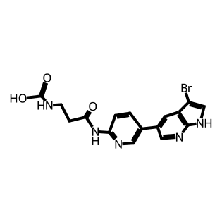 O=C(O)NCCC(=O)Nc1ccc(-c2cnc3[nH]cc(Br)c3c2)cn1